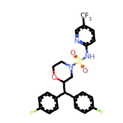 O=S(=O)(Nc1ccc(C(F)(F)F)cn1)N1CCOC(C(c2ccc(F)cc2)c2ccc(F)cc2)C1